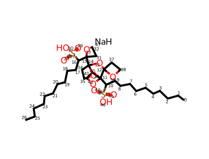 CCCCCCCCCCC(C1(C2(OC3(C4(C(CCCCCCCCCC)S(=O)(=O)O)CCO4)CCO3)CCO2)CCO1)S(=O)(=O)O.[NaH]